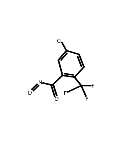 O=NC(=O)c1cc(Cl)ccc1C(F)(F)F